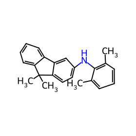 Cc1cccc(C)c1Nc1ccc2c(c1)-c1ccccc1C2(C)C